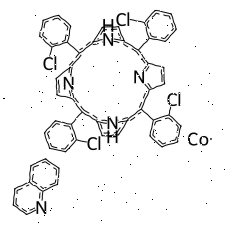 Clc1ccccc1-c1c2nc(c(-c3ccccc3Cl)c3ccc([nH]3)c(-c3ccccc3Cl)c3nc(c(-c4ccccc4Cl)c4ccc1[nH]4)C=C3)C=C2.[Co].c1ccc2ncccc2c1